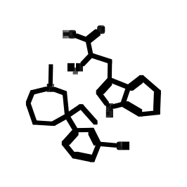 CCC1(c2cccc(O)c2)CCCCN(C)C1.NC(Cc1c[nH]c2ccccc12)C(=O)O